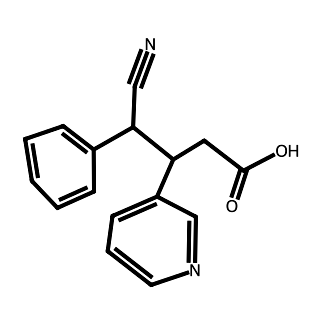 N#CC(c1ccccc1)C(CC(=O)O)c1cccnc1